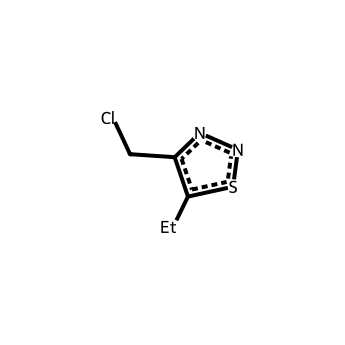 CCc1snnc1CCl